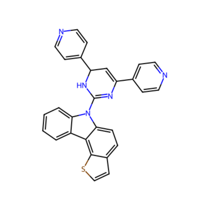 C1=C(c2ccncc2)N=C(n2c3ccccc3c3c4sccc4ccc32)NC1c1ccncc1